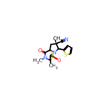 CN1C(=O)C23C[C@](C)(C#N)C(c4cccs4)N2C(=O)C1(C)SS3